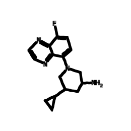 NC1CC(C2CC2)CN(c2ccc(F)c3nccnc23)C1